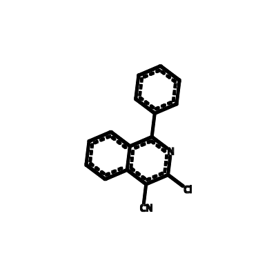 N#Cc1c(Cl)nc(-c2ccccc2)c2ccccc12